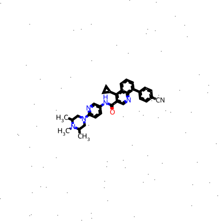 CC1CN(c2ccc(NC(=O)c3cnc4c(-c5ccc(C#N)cc5)cccc4c3C3CC3)cn2)CC(C)N1C